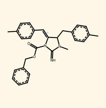 Cc1ccc(/C=C2/C(Cc3ccc(C)cc3)N(C)C(=N)N2C(=O)OCc2ccccc2)cc1